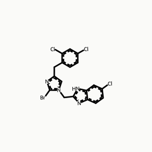 Clc1ccc(Cc2cn(Cc3nc4ccc(Cl)cc4[nH]3)c(Br)n2)c(Cl)c1